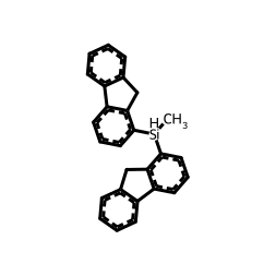 C[SiH](c1cccc2c1Cc1ccccc1-2)c1cccc2c1Cc1ccccc1-2